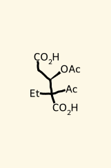 CCC(C(C)=O)(C(=O)O)[C@@H](CC(=O)O)OC(C)=O